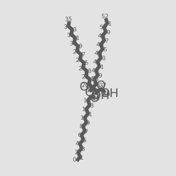 CCCCCCCCCCCCCCCC(=O)OC(C(=O)CCCCCCCCCCCCCCC)(C(=O)CCCCCCCCCCCCCCC)C(O)CO